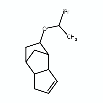 CC(C)C(C)OC1CC2CC1C1C=CCC21